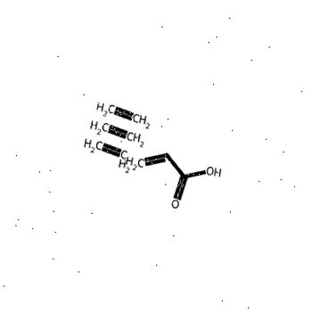 C=C.C=C.C=C.C=CC(=O)O